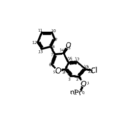 CCCOc1cc2occ(-c3ccccc3)c(=O)c2cc1Cl